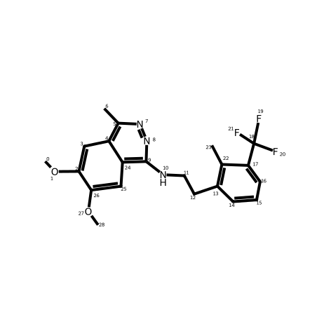 COc1cc2c(C)nnc(NCCc3cccc(C(F)(F)F)c3C)c2cc1OC